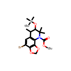 CC1c2cc(Br)c3c(c2N(C(=O)OC(C)(C)C)C(C)(C)C1O[Si](C)(C)C(C)(C)C)OCO3